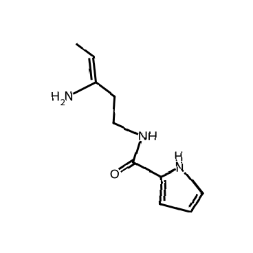 C/C=C(\N)CCNC(=O)c1ccc[nH]1